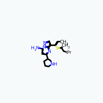 C=C(CC(C)C)S/C(=C\C)c1cnn2c(N)cc(C3CCCNC3)nc12